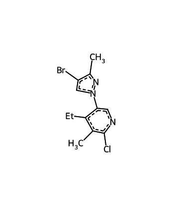 CCc1c(-n2cc(Br)c(C)n2)cnc(Cl)c1C